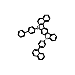 c1ccc(-c2ccc(-n3c4cc5c(cc4c4c6ccccc6ccc43)c3ccccc3n5-c3ccc(-c4cccc5ccccc45)cc3)cc2)cc1